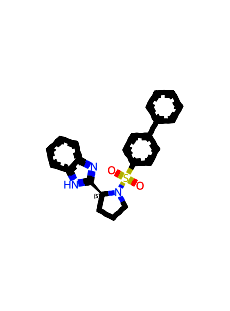 O=S(=O)(c1ccc(-c2ccccc2)cc1)N1CCC[C@H]1c1nc2ccccc2[nH]1